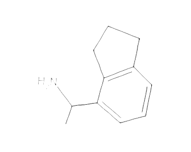 CC(N)c1cccc2c1CCC2